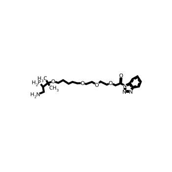 CC(C)(OCCCCCOCCOCCOCC(=O)n1nnc2ccccc21)C(P)CN